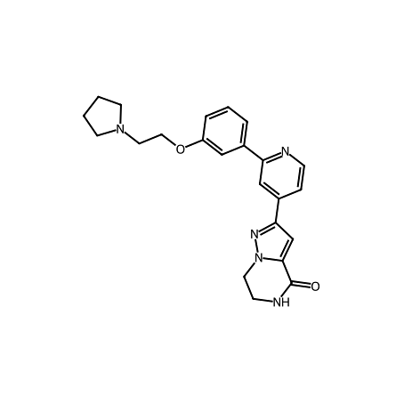 O=C1NCCn2nc(-c3ccnc(-c4cccc(OCCN5CCCC5)c4)c3)cc21